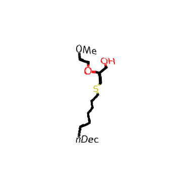 CCCCCCCCCCCCCCCCSCC(CO)OCCOC